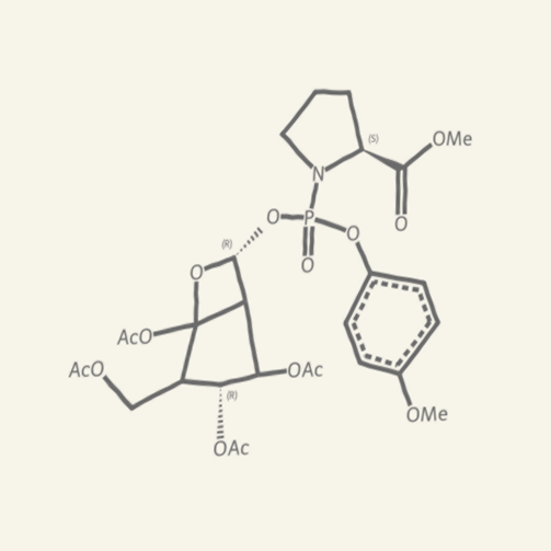 COC(=O)[C@@H]1CCCN1P(=O)(Oc1ccc(OC)cc1)O[C@H]1OC2(OC(C)=O)C1C(OC(C)=O)[C@H](OC(C)=O)C2COC(C)=O